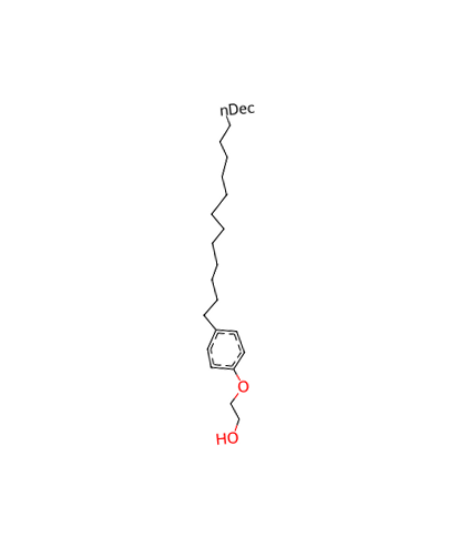 CCCCCCCCCCCCCCCCCCCCCCc1ccc(OCCO)cc1